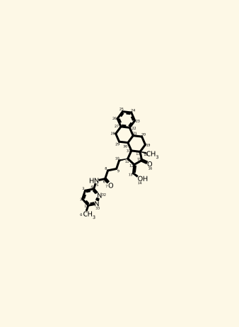 Cc1ccc(NC(=O)CCC[C@@H]2/C(=C/O)C(=O)[C@@]3(C)CCC4c5ccccc5CCC4C23)nn1